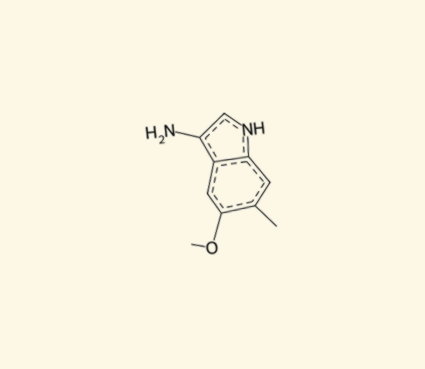 COc1cc2c(N)c[nH]c2cc1C